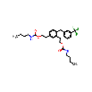 CCCCNC(=O)OCCc1ccc(Cc2cccc(C(F)(F)F)c2)c(CCOC(=O)NCCCC)c1